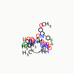 COc1ccc2c(O[C@@H]3C[C@H]4C(=O)N[C@]5(C(=O)NS(=O)(=O)C6CC6)C[C@H]5C=CCC[C@H](C)C[C@@H](C)[C@H](N(C(=O)O)C(C)(C)C(F)(F)F)C(=O)N4C3)nc(-c3ccc(F)cc3)cc2c1